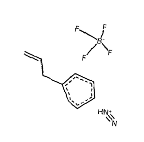 C=CCc1ccccc1.F[B-](F)(F)F.N#[NH+]